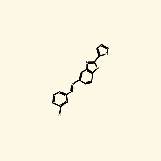 Clc1cccc(/C=N/c2ccc3[nH]c(-c4ccco4)nc3c2)c1